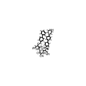 CC(C)CC(C(=O)NCC#N)S(=O)(=O)c1ccc(-c2ccc(N3CCNCC3)cc2)cc1.CC(C)CC(OCc1ccc(-c2ccccc2)cc1)C(=O)NCC#N